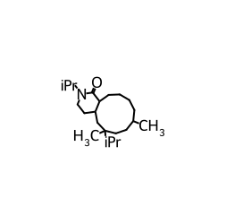 CC1CCCCC2C(=O)N(C(C)C)CCC2CC(C)(C(C)C)CC1